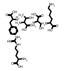 CC(O)C(N)C(=O)O.N=C(N)NCCCC(N)C(=O)O.NC(CO)C(=O)O.NC(Cc1ccccc1)C(=O)O.NCCCCC(N)C(=O)O